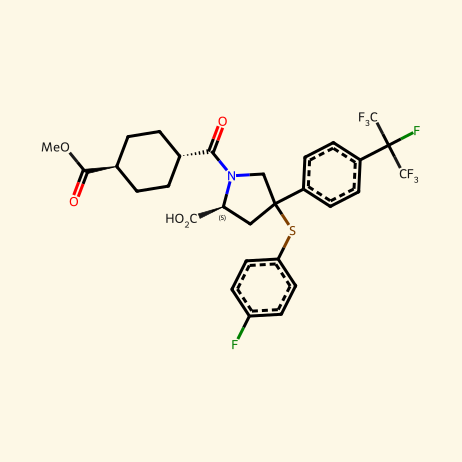 COC(=O)[C@H]1CC[C@H](C(=O)N2CC(Sc3ccc(F)cc3)(c3ccc(C(F)(C(F)(F)F)C(F)(F)F)cc3)C[C@H]2C(=O)O)CC1